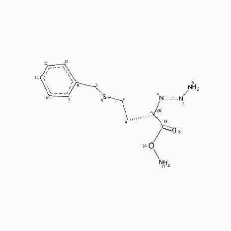 NN=N[C@@H](CCSCc1ccccc1)C(=O)ON